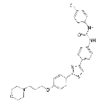 O=C(Nc1ccc(Cl)cc1)Nc1ccc(-c2csc(-c3ccc(OCCCN4CCOCC4)cc3)n2)cc1